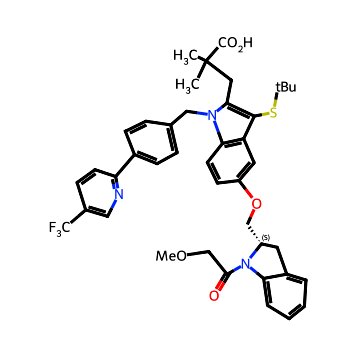 COCC(=O)N1c2ccccc2C[C@H]1COc1ccc2c(c1)c(SC(C)(C)C)c(CC(C)(C)C(=O)O)n2Cc1ccc(-c2ccc(C(F)(F)F)cn2)cc1